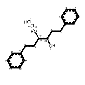 Cl.Cl.O[C@H](CCc1ccccc1)[C@H](O)CCc1ccccc1